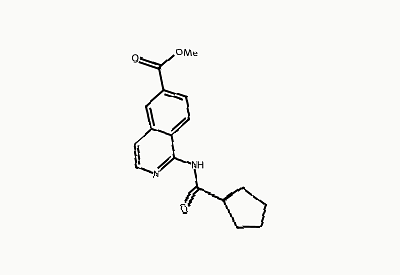 COC(=O)c1ccc2c(NC(=O)C3CCCC3)nccc2c1